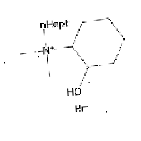 CCCCCCC[N+](C)(C)C1CCCCC1O.[Br-]